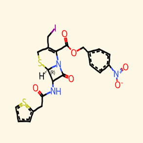 O=C(Cc1cccs1)NC1C(=O)N2C(C(=O)OCc3ccc([N+](=O)[O-])cc3)=C(CI)CS[C@H]12